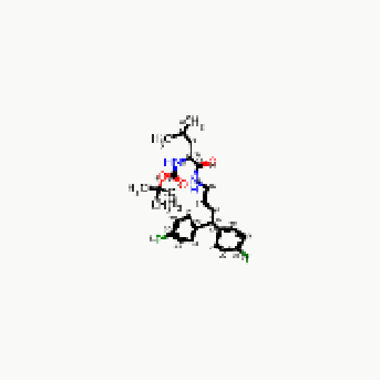 CC(C)C[C@H](NC(=O)OC(C)(C)C)C(=O)NCCCC(c1ccc(F)cc1)c1ccc(F)cc1